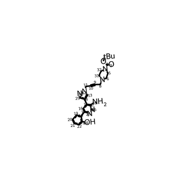 CC(C)(C)OC(=O)N1CCN(CC#CCn2cc(-c3cc(-c4ccccc4O)nnc3N)cn2)CC1